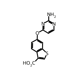 Nc1nccc(Oc2ccc3c(C(=O)O)csc3c2)n1